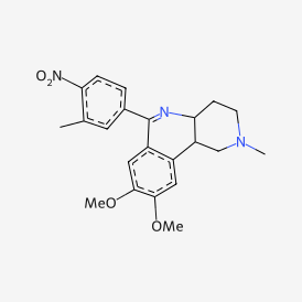 COc1cc2c(cc1OC)C1CN(C)CCC1N=C2c1ccc([N+](=O)[O-])c(C)c1